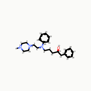 CN1CCN(CCN(CCCC(=O)Cc2ccccc2)c2ccccc2)CC1